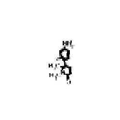 Cc1c(-c2ccc(N)cc2F)ccc(=O)n1C